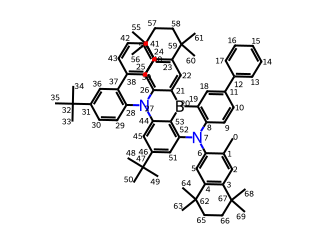 Cc1cc2c(cc1N1c3ccc(-c4ccccc4)cc3B3c4cc5c(cc4N(c4ccc(C(C)(C)C)cc4-c4ccccc4)c4cc(C(C)(C)C)cc1c43)C(C)(C)CCC5(C)C)C(C)(C)CCC2(C)C